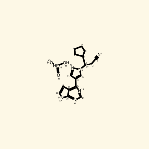 N#CC[C@H](C1CCCC1)n1cc(-c2ncnc3[nH]ccc23)cn1.O=[PH](O)O